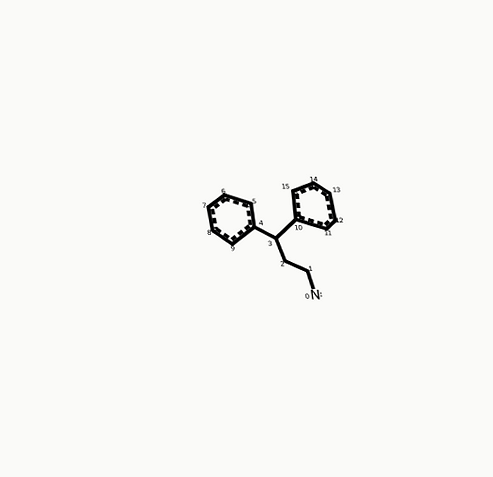 [N]CCC(c1ccccc1)c1ccccc1